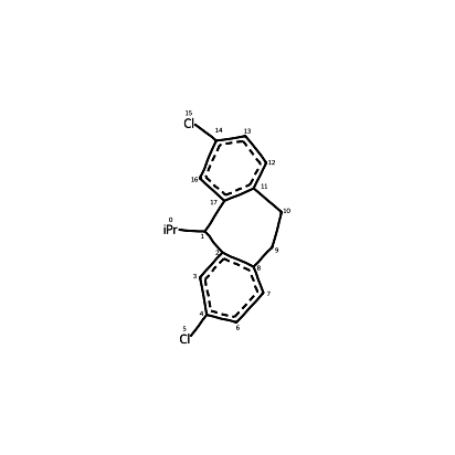 CC(C)C1c2cc(Cl)ccc2CCc2ccc(Cl)cc21